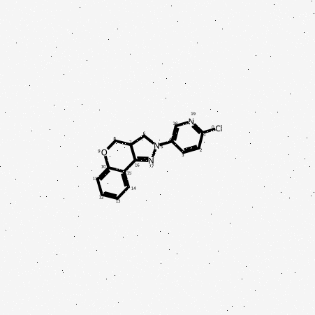 Clc1ccc(N2CC3COc4ccccc4C3=N2)cn1